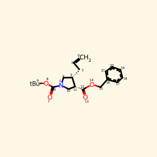 C=CC[C@H]1CN(C(=O)OC(C)(C)C)C[C@H]1C(=O)OCc1ccccc1